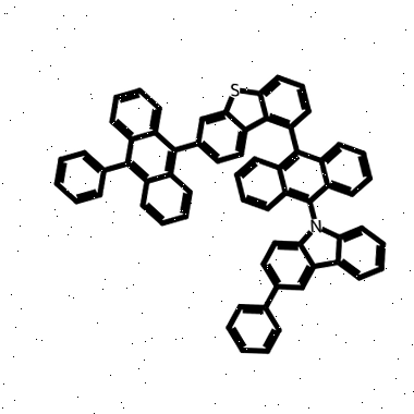 c1ccc(-c2ccc3c(c2)c2ccccc2n3-c2c3ccccc3c(-c3cccc4sc5cc(-c6c7ccccc7c(-c7ccccc7)c7ccccc67)ccc5c34)c3ccccc23)cc1